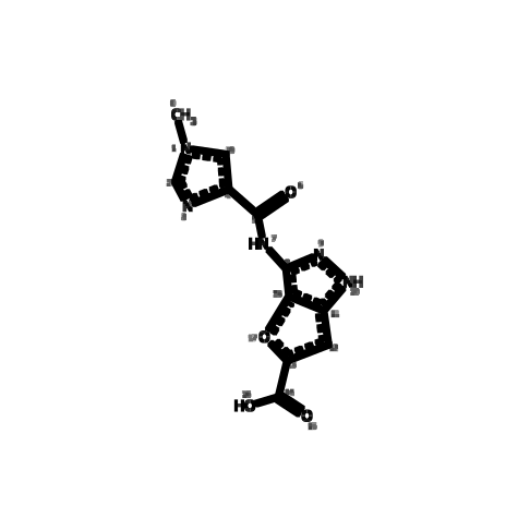 Cn1cnc(C(=O)Nc2n[nH]c3cc(C(=O)O)oc23)c1